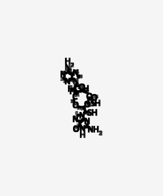 Nc1nc2c(ncn2[C@H](S)[C@H]2COCC[C@H]3[C@H](F)[C@H](n4cnc5c(N)ncnc54)O[C@@H]3COP(=O)(S)O2)c(=O)[nH]1